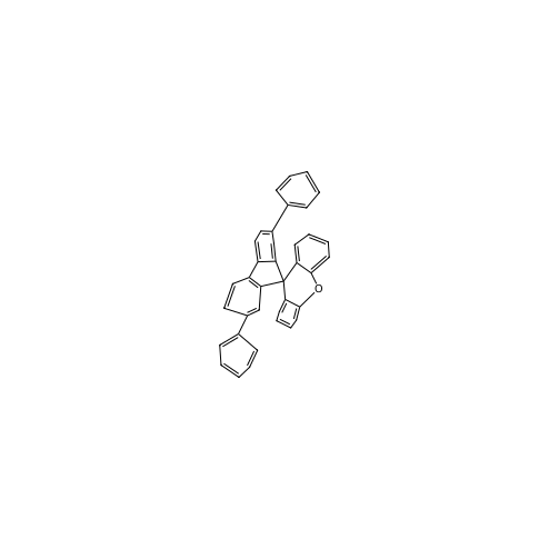 c1ccc(-c2ccc3c(c2)C2(c4ccccc4Oc4ccccc42)c2cc(-c4ccccc4)ccc2-3)cc1